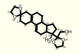 C[C@]12CC=C3C4=C(CCC3C1CC[C@]2(O)C1(CO)OCCO1)CC1(CC4)OCCO1